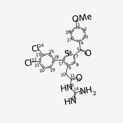 COc1ccc(C(=O)c2cc(CC(=O)NC(=N)N)c(-c3ccc(Cl)c(Cl)c3)s2)cc1